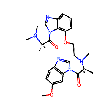 COc1ccc2ncn(C(=O)[C@H](C)N(C)CCOc3cccc4ncn(C(=O)[C@H](C)N(C)C)c34)c2c1